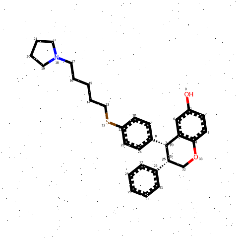 Oc1ccc2c(c1)[C@@H](c1ccc(SCCCCCN3CCCC3)cc1)[C@@H](c1ccccc1)CO2